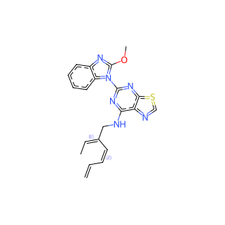 C=C/C=C\C(=C/C)CNc1nc(-n2c(OC)nc3ccccc32)nc2scnc12